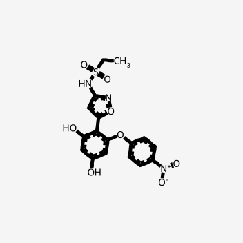 CCS(=O)(=O)Nc1cc(-c2c(O)cc(O)cc2Oc2ccc([N+](=O)[O-])cc2)on1